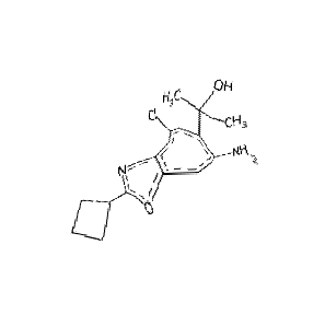 CC(C)(O)c1c(N)cc2oc(C3CCC3)nc2c1Cl